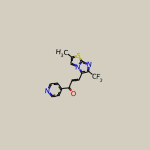 Cc1cn2c(C=CC(=O)c3ccncc3)c(C(F)(F)F)nc2s1